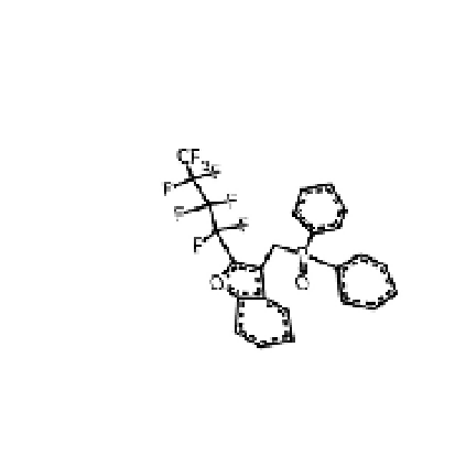 O=P(Cc1c(C(F)(F)C(F)(F)C(F)(F)C(F)(F)F)oc2ccccc12)(c1ccccc1)c1ccccc1